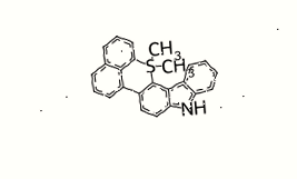 CS1(C)c2cccc3cccc(c23)-c2ccc3[nH]c4ccccc4c3c21